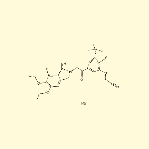 Br.CCOc1cc2c(c(F)c1OCC)C(=N)N(CC(=O)c1cc(OCC#N)c(OC)c(C(C)(C)C)c1)C2